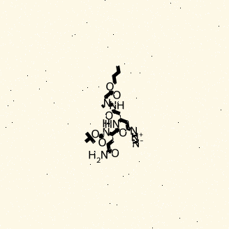 CCCCOC(=O)CN(C)NC(=O)C[C@H](CCN=[N+]=[N-])NC(=O)[C@H](CCC(N)=O)NC(=O)OC(C)(C)C